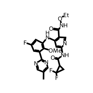 CCONC(=O)c1cnc(NC(=O)C2CC2(F)F)cc1Nc1cc(F)cc(-c2ncc(C)cn2)c1OC